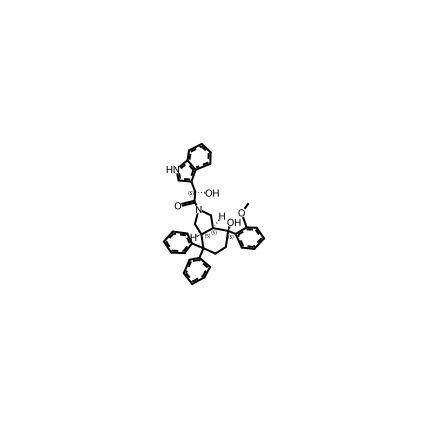 COc1ccccc1[C@]1(O)CCC(c2ccccc2)(c2ccccc2)[C@H]2CN(C(=O)[C@@H](O)c3c[nH]c4ccccc34)C[C@H]21